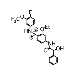 CCOc1cc(NC(=O)[C@@H](O)c2ccccc2)ccc1S(=O)(=O)Nc1ccc(F)c(OC(F)(F)F)c1